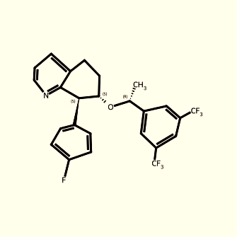 C[C@@H](O[C@H]1CCc2cccnc2[C@@H]1c1ccc(F)cc1)c1cc(C(F)(F)F)cc(C(F)(F)F)c1